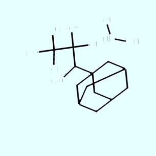 CC(C)(C)C(C12CC3CC(CC(C3)C1)C2)C(C)(O)C(C)(C)O.OBO